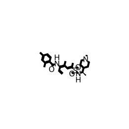 C=C/C(NC(=O)c1ccc(C)cc1C)=C(C)\C=C(/C)S(=O)(=O)N[C@H](C)C1CCN(C)CC1